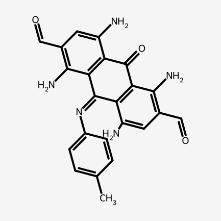 Cc1ccc(N=C2c3c(N)cc(C=O)c(N)c3C(=O)c3c(N)cc(C=O)c(N)c32)cc1